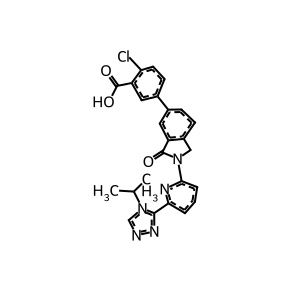 CC(C)n1cnnc1-c1cccc(N2Cc3ccc(-c4ccc(Cl)c(C(=O)O)c4)cc3C2=O)n1